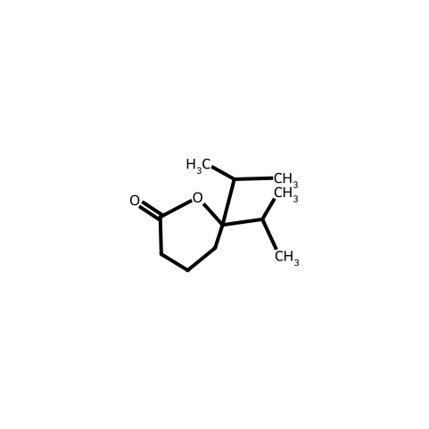 CC(C)C1(C(C)C)CCCC(=O)O1